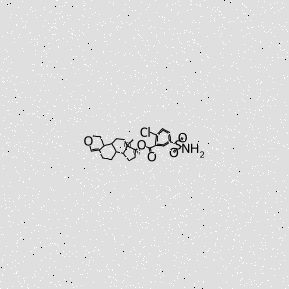 C[C@]12CCC3C4CCOC=C4CCC3C1CC[C@@H]2OC(=O)c1cc(S(N)(=O)=O)ccc1Cl